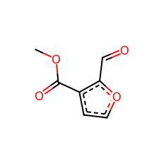 COC(=O)c1ccoc1C=O